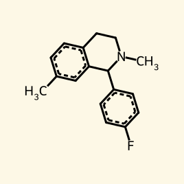 Cc1ccc2c(c1)C(c1ccc(F)cc1)N(C)CC2